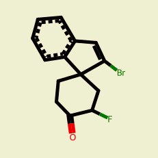 O=C1CCC2(CC1F)C(Br)=Cc1ccccc12